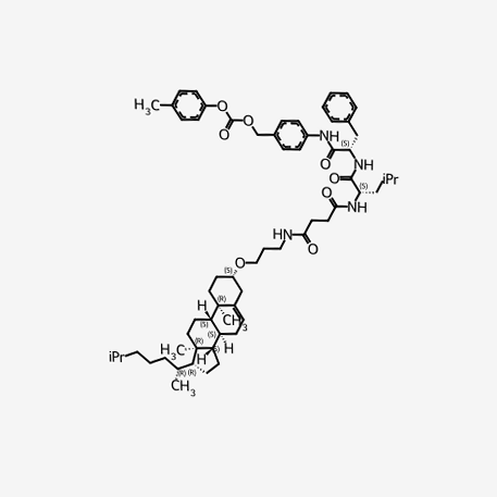 Cc1ccc(OC(=O)OCc2ccc(NC(=O)[C@H](Cc3ccccc3)NC(=O)[C@H](CC(C)C)NC(=O)CCC(=O)NCCCO[C@H]3CC[C@@]4(C)C(=CC[C@H]5[C@@H]6CC[C@H]([C@H](C)CCCC(C)C)[C@@]6(C)CC[C@@H]54)C3)cc2)cc1